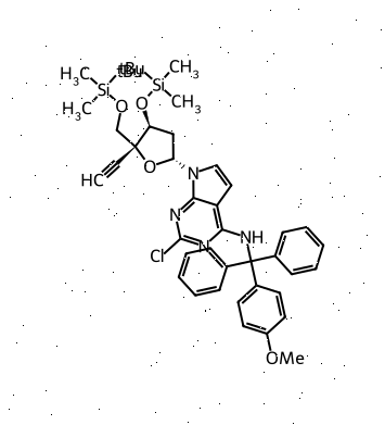 C#C[C@]1(CO[Si](C)(C)C(C)(C)C)O[C@@H](n2ccc3c(NC(c4ccccc4)(c4ccccc4)c4ccc(OC)cc4)nc(Cl)nc32)C[C@@H]1O[Si](C)(C)C(C)(C)C